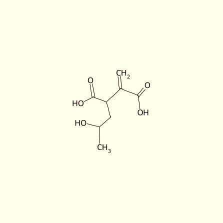 C=C(C(=O)O)C(CC(C)O)C(=O)O